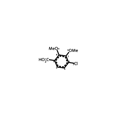 COc1c(Cl)ccc(C(=O)O)c1OC